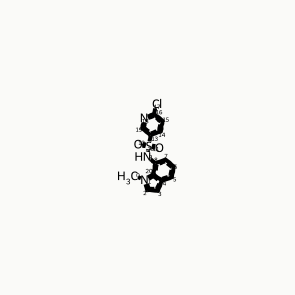 Cn1ccc2cccc(NS(=O)(=O)c3ccc(Cl)nc3)c21